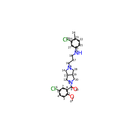 COc1ccc(Cl)cc1C(=O)N1CC2CN(CCCNc3ccc(C)c(Cl)c3)CC2C1